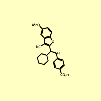 COc1ccc2oc(C(Nc3ccc(C(=O)O)cc3)C3CCCCC3)c(C#N)c2c1